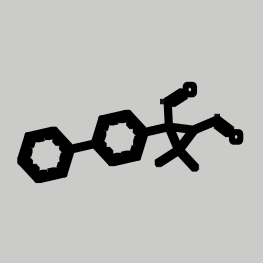 CC1(C)C([C]=O)C1([C]=O)c1ccc(-c2ccccc2)cc1